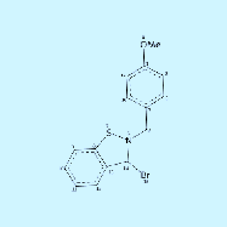 COc1ccc(CN2Sc3ccccc3C2Br)cc1